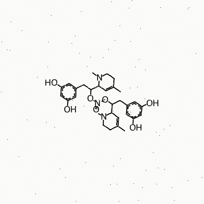 CC1=CC(C(Cc2cc(O)cc(O)c2)O[N+](=O)OC(Cc2cc(O)cc(O)c2)C2C=C(C)CCN2C)N(C)CC1